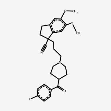 COc1cc2c(cc1OC)C(C#N)(CCCN1CCC(C(=O)c3ccc(F)cc3)CC1)CC2